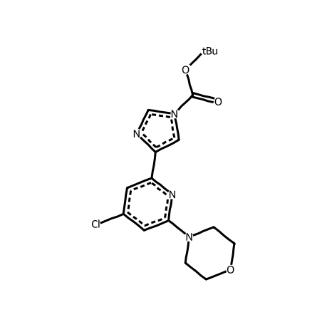 CC(C)(C)OC(=O)n1cnc(-c2cc(Cl)cc(N3CCOCC3)n2)c1